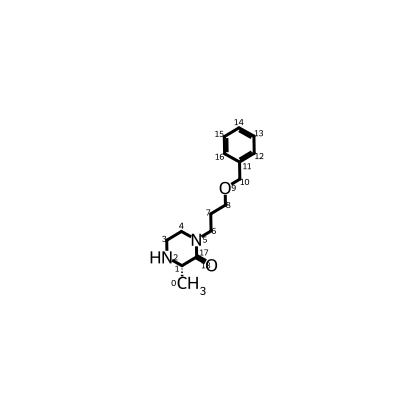 C[C@@H]1NCCN(CCCOCc2ccccc2)C1=O